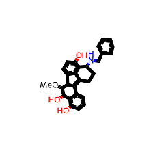 COC1C(O)c2c(O)cccc2C2=C3CCC(NCc4ccccc4)c4c(O)ccc(c43)C21